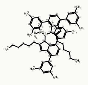 CCCCCCC1=Cc2c(-c3cc(C)cc(C)c3)ccc(-c3cc(C)cc(C)c3)c2[CH]1[Zr]([CH]1C(CCCCCC)=Cc2c(-c3cc(C)cc(C)c3)ccc(-c3cc(C)cc(C)c3)c21)[SiH](C)C